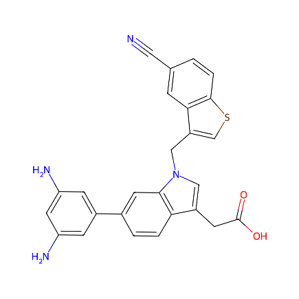 N#Cc1ccc2scc(Cn3cc(CC(=O)O)c4ccc(-c5cc(N)cc(N)c5)cc43)c2c1